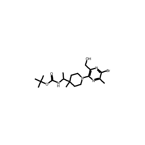 Cc1nc(N2CCC(C)(C(C)NC(=O)OC(C)(C)C)CC2)c(CO)nc1Br